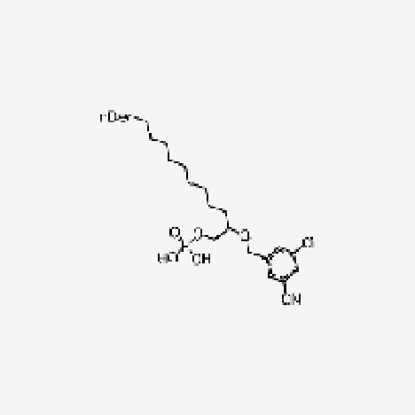 CCCCCCCCCCCCCCCCCCCC(COP(=O)(O)O)OCc1cc(Cl)cc(C#N)c1